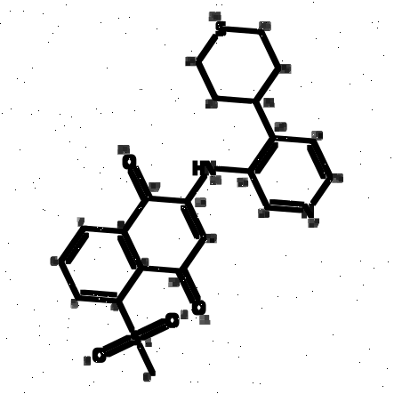 CS(=O)(=O)c1cccc2c1C(=O)C=C(Nc1cnccc1C1CCSCC1)C2=O